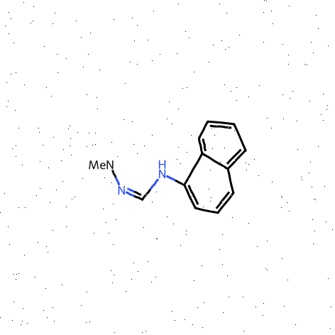 CN/N=C\Nc1cccc2ccccc12